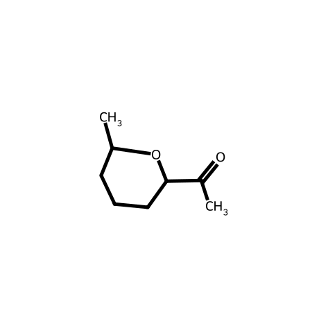 CC(=O)C1CCCC(C)O1